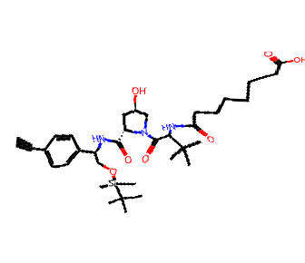 C#Cc1ccc(C(CO[Si](C)(C)C(C)(C)C)NC(=O)[C@@H]2C[C@@H](O)CN2C(=O)C(NC(=O)CCCCCCC(=O)O)C(C)(C)C)cc1